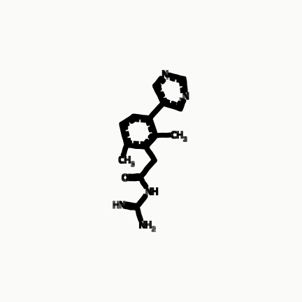 Cc1ccc(-c2cncnc2)c(C)c1CC(=O)NC(=N)N